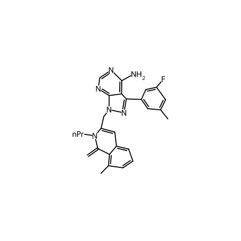 C=C1c2c(C)cccc2C=C(Cn2nc(-c3cc(C)cc(F)c3)c3c(N)ncnc32)N1CCC